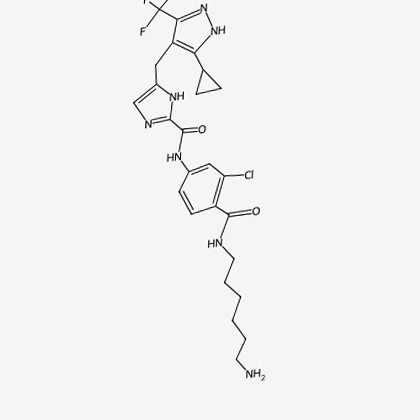 NCCCCCCNC(=O)c1ccc(NC(=O)c2ncc(Cc3c(C(F)(F)F)n[nH]c3C3CC3)[nH]2)cc1Cl